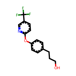 OCCCc1ccc(Oc2ccc(C(F)(F)F)cn2)cc1